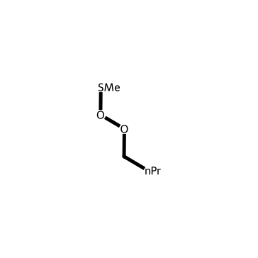 CCCCOOSC